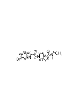 CCNC(=O)c1ccc2n1CCN(CC(=O)c1cc3ncc(Br)cn3n1)C2